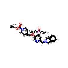 COP(=O)(OC)c1cc(CN2Cc3ccccc3C2)ncc1OCC1CCN(C(=O)OC(C)(C)C)CC1